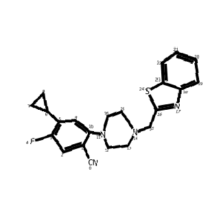 N#Cc1cc(F)c(C2CC2)cc1N1CCN(Cc2nc3ccccc3s2)CC1